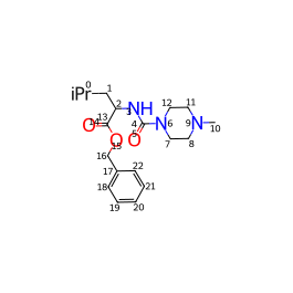 CC(C)CC(NC(=O)N1CCN(C)CC1)C(=O)OCc1ccccc1